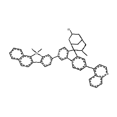 CCC1CC2CC(C)C3(c4ccc(-c5ccc6c(c5)S(C)(C)c5c-6ccc6ccccc56)cc4-c4ccc(-c5ccnc6ccccc56)cc43)C(C1)C2